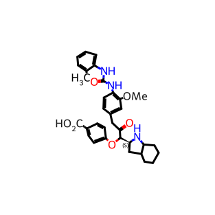 COc1cc(CC(=O)C(Oc2ccc(C(=O)O)cc2)[C@@H]2CC3CCCCC3N2)ccc1NC(=O)Nc1ccccc1C